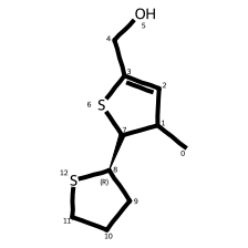 CC1C=C(CO)SC1[C@H]1CCCS1